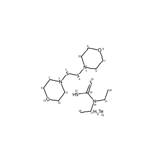 C1CN(SSN2CCOCC2)CCO1.CCN(CC)C(=S)S.[TeH2]